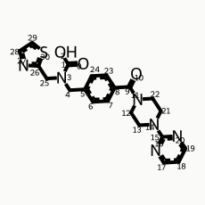 O=C(O)N(Cc1ccc(C(=O)N2CCN(c3ncccn3)CC2)cc1)Cc1nccs1